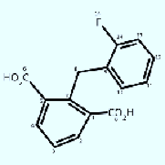 O=C(O)c1cccc(C(=O)O)c1Cc1ccccc1F